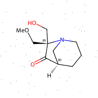 COC[C@]1(CO)C(=O)[C@@H]2CCCN1C2